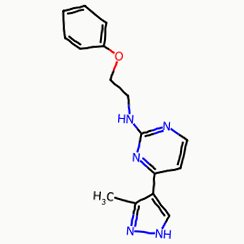 Cc1n[nH]cc1-c1ccnc(NCCOc2ccccc2)n1